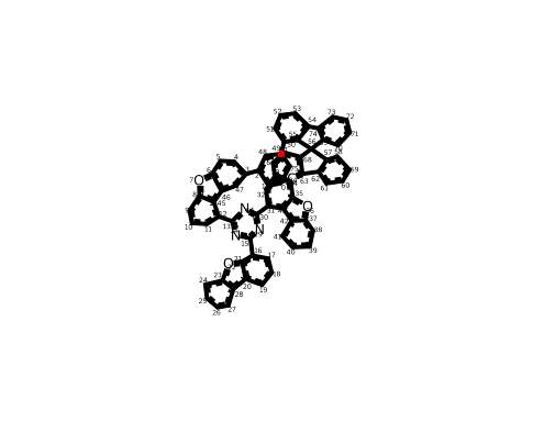 c1cc(-c2ccc3oc4cccc(-c5nc(-c6cccc7c6oc6ccccc67)nc(-c6cccc7oc8ccccc8c67)n5)c4c3c2)cc(-c2cccc3c2C2(c4ccccc4-c4ccccc42)c2ccccc2-3)c1